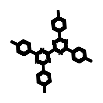 Cc1ccc(-c2nc(-c3ccc(C)cc3)nc(-c3nc(-c4ccc(C)cc4)nc(-c4ccc(C)cc4)n3)n2)cc1